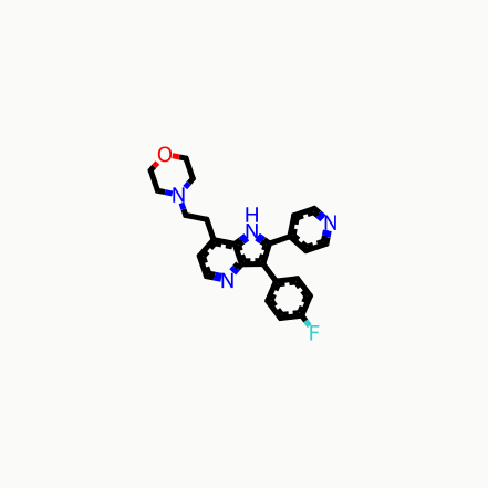 Fc1ccc(-c2c(-c3ccncc3)[nH]c3c(CCN4CCOCC4)ccnc23)cc1